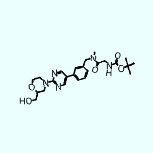 CN(Cc1cccc(-c2cnc(N3CCOC(CO)C3)nc2)c1)C(=O)CNC(=O)OC(C)(C)C